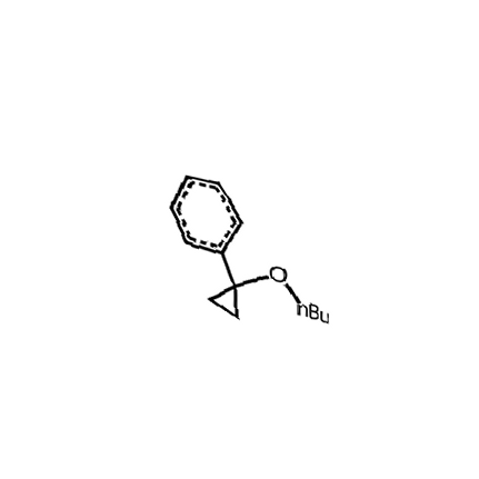 CCCCOC1(c2ccccc2)CC1